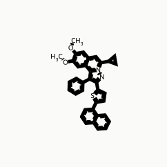 COc1cc2cc(C3CC3)n3nc(-c4ccc(-c5cccc6ccccc56)s4)c(-c4ccccc4)c3c2cc1OC